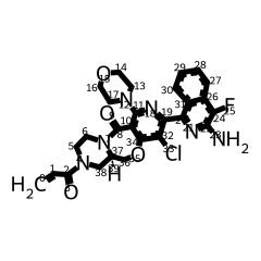 C=CC(=O)N1CCN2C(=O)c3c(N4CCOCC4)nc(-c4nc(N)c(F)c5ccccc45)c(Cl)c3OC[C@H]2C1